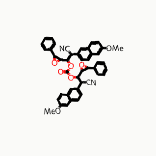 COc1ccc2cc(C(C#N)C(OC(=O)OC(C(C#N)c3ccc4cc(OC)ccc4c3)C3OC3c3ccccc3)C3OC3c3ccccc3)ccc2c1